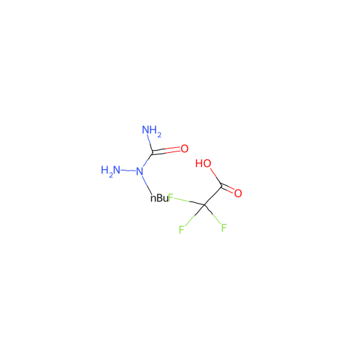 CCCCN(N)C(N)=O.O=C(O)C(F)(F)F